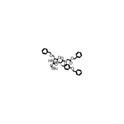 CC(C)(C)OC(=O)N[C@@H](COCc1ccccc1)C(=O)N[C@@H](Cc1ccc(OCc2ccccc2)cc1)C(=O)NCC(=O)OCc1ccccc1